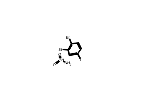 CCc1ccc(I)cc1CC.N[SH](=O)=O